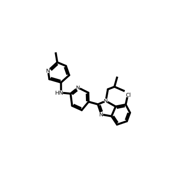 Cc1ccc(Nc2ccc(-c3nc4cccc(Cl)c4n3CC(C)C)cn2)cn1